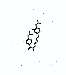 C=C(\C(C)=C/C=N/C=C/c1ccc(OC(C)C)c(F)c1)c1ccc(OC(C)C)cc1